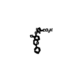 O=C(O)c1cnc(Oc2ccc3c(c2Cl)CCC(c2ccccc2)O3)s1